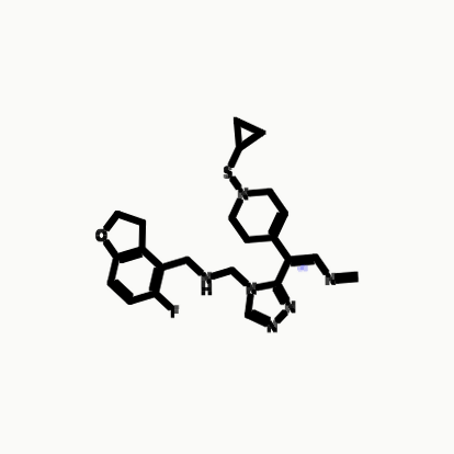 C=N/C=C(/C1=CCN(SC2CC2)CC1)c1nncn1CNCc1c(F)ccc2c1CCO2